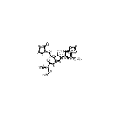 CCCCN(OCCC)C(=O)CN1CC(c2cc(OC)c3c(c2)OCO3)C(C(=O)O)C1CCN1CCCC1=O